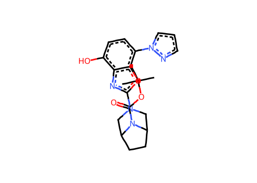 CC(C)(C)OC(=O)N1C2CCC1CN(c1nc3c(O)ccc(-n4cccn4)c3o1)C2